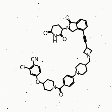 N#Cc1ccc(OC2CCN(C(=O)c3ccc(N4CCC(CN5CC(C#Cc6cccc7c6CN(C6CCC(=O)NC6=O)C7=O)C5)CC4)cc3)CC2)cc1Cl